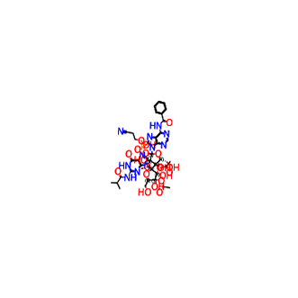 CO[C@]1(O)[C@](OP(=O)(O)OCCC#N)(n2cnc3c(NC(=O)c4ccccc4)ncnc32)O[C@H](CO)[C@]1(O)[C@@]1(n2cnc3c(=O)[nH]c(NC(=O)C(C)C)nc32)O[C@H](CO)[C@](O)(OC(C)=O)[C@]1(O)OC(C)=O